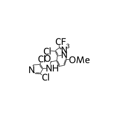 COc1ccc(C(=O)Nc2c(Cl)cncc2Cl)c2c(Cl)c(C(F)(F)F)nn12